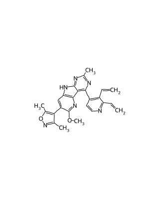 C=Cc1nccc(-c2nc(C)nc3[nH]c4cc(-c5c(C)noc5C)c(OC)nc4c23)c1C=C